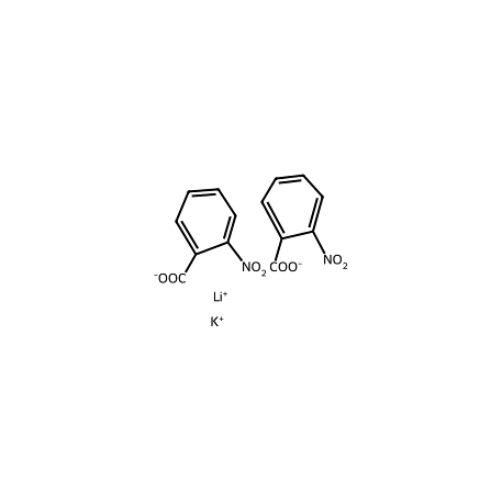 O=C([O-])c1ccccc1[N+](=O)[O-].O=C([O-])c1ccccc1[N+](=O)[O-].[K+].[Li+]